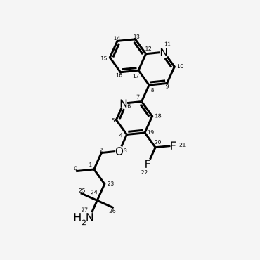 CC(COc1cnc(-c2ccnc3ccccc23)cc1C(F)F)CC(C)(C)N